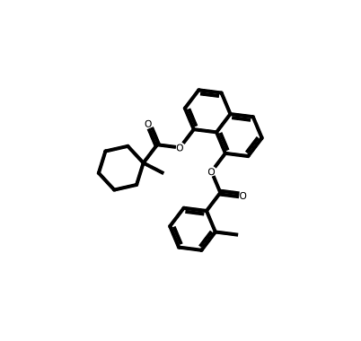 Cc1ccccc1C(=O)Oc1cccc2cccc(OC(=O)C3(C)CCCCC3)c12